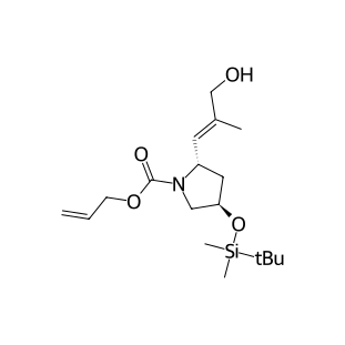 C=CCOC(=O)N1C[C@H](O[Si](C)(C)C(C)(C)C)C[C@H]1/C=C(\C)CO